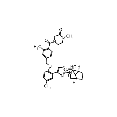 Cc1ccc(OCc2ccc(C(=O)N3CCN(C)C(=O)C3)c(C)c2)c(-c2csc(N3C[C@H]4CC[C@@H](C3)[C@H]4C(=O)O)n2)c1